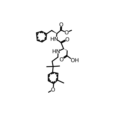 COC(=O)[C@H](Cc1ccccc1)NC(=O)[C@H](CC(=O)O)NCCC(C)(C)c1ccc(OC)c(C)c1